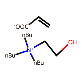 C=CC(=O)[O-].CCCC[N+](CCO)(CCCC)CCCC